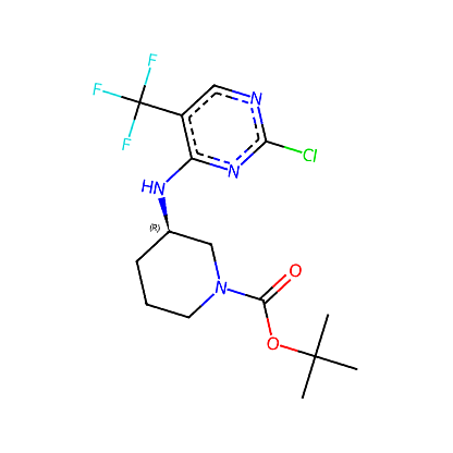 CC(C)(C)OC(=O)N1CCC[C@@H](Nc2nc(Cl)ncc2C(F)(F)F)C1